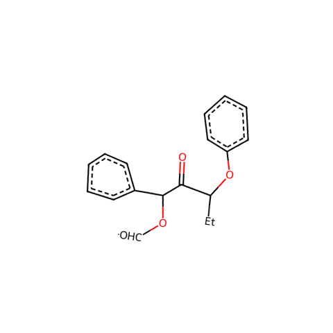 CCC(Oc1ccccc1)C(=O)C(O[C]=O)c1ccccc1